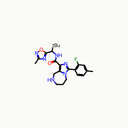 Cc1ccc(-c2nc(C(=O)NC(c3nc(C)no3)C(C)(C)C)c3n2CCCNC3)c(F)c1